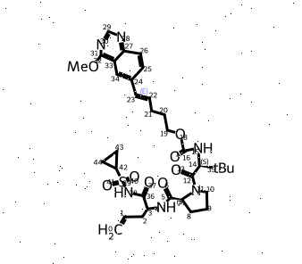 C=CCC(NC(=O)[C@@H]1CCCN1C(=O)[C@@H](NC(=O)OCCC/C=C/c1ccc2ncnc(OC)c2c1)C(C)(C)C)C(=O)NS(=O)(=O)C1CC1